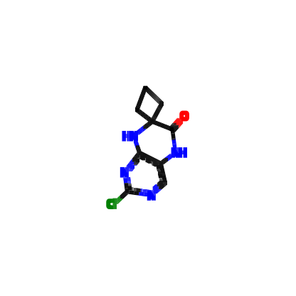 O=C1Nc2cnc(Cl)nc2NC12CCC2